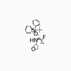 CC(C)(C)[Si](OC[C@@H](NC1CCOC1)C1(F)CC1)(c1ccccc1)c1ccccc1